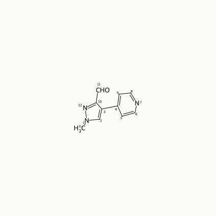 Cn1cc(-c2ccncc2)c(C=O)n1